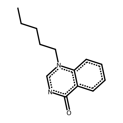 CCCCCn1cnc(=O)c2ccccc21